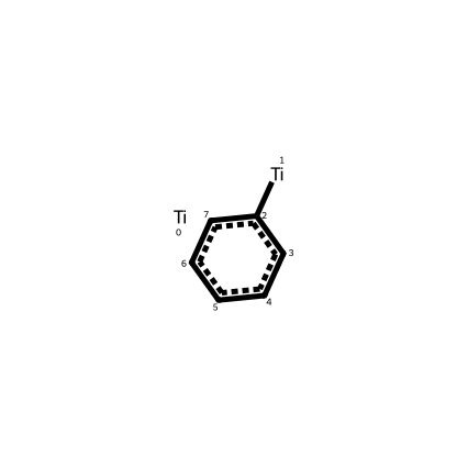 [Ti].[Ti][c]1ccccc1